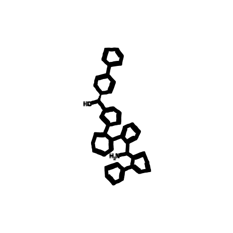 NC(c1ccccc1C1=CC=CCC=C1c1cccc(C(O)[C@H]2C=CC(c3ccccc3)=CC2)c1)c1ccccc1-c1ccccc1